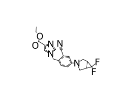 CCOC(=O)c1cn(Cc2ccc(N3CC4C(C3)C4(F)F)cc2C#N)cn1